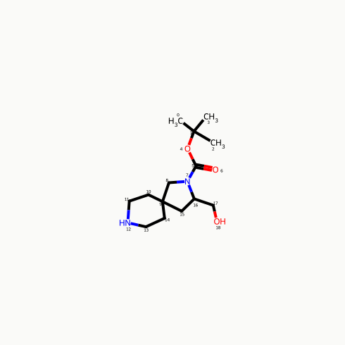 CC(C)(C)OC(=O)N1CC2(CCNCC2)CC1CO